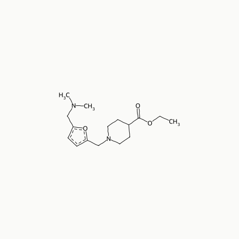 CCOC(=O)C1CCN(Cc2ccc(CN(C)C)o2)CC1